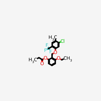 CCOc1cccc(OC(=O)CC)c1COc1cc(Cl)c(C)cc1C(F)(F)F